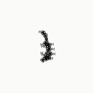 Nc1c(N=Nc2ccc3c(O)c(N=Nc4ccc(N=Nc5ccc(S(=O)(=O)CCS(=O)(=O)O)cc5)cc4S(=O)(=O)O)c(S(=O)(=O)O)cc3c2S(=O)(=O)O)cc(S(=O)(=O)O)c2cc(S(=O)(=O)O)c(N=Nc3ccc([N+](=O)[O-])cc3S(=O)(=O)O)c(O)c12